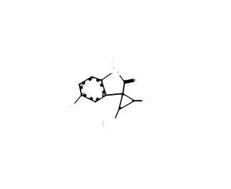 CC1C(C)C12C(=O)Nc1ccc(F)cc12